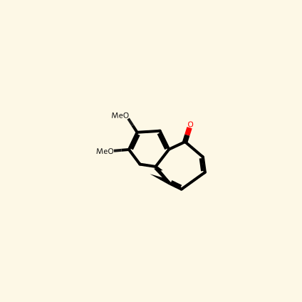 COC1=C(OC)CC23CCCCC2=CC=CC(=O)C3=C1